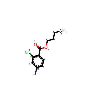 O=C(OCCC[SiH3])c1ccc(I)cc1Br